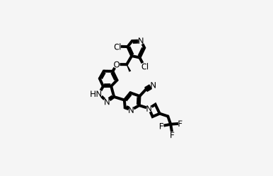 C[C@@H](Oc1ccc2[nH]nc(-c3cnc(N4CC(CC(F)(F)F)C4)c(C#N)c3)c2c1)c1c(Cl)cncc1Cl